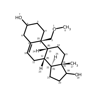 COC[C@]12CCC(O)CC1=CC[C@@H]1[C@H]2CC[C@]2(C)C(O)CC[C@@H]12